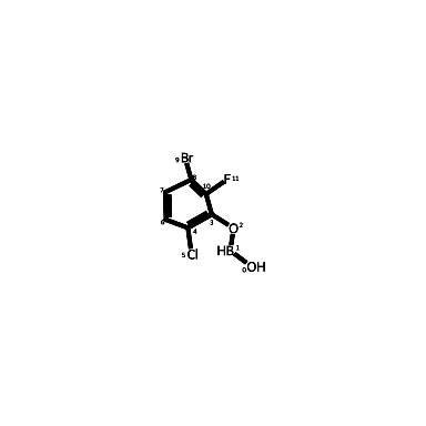 OBOc1c(Cl)ccc(Br)c1F